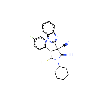 N#CC1(c2nc3ccccc3[nH]2)C(=N)N(C2CCCCC2)C(S)C1c1ccc(F)cc1